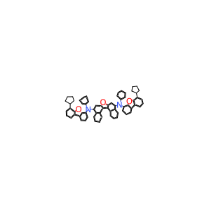 c1ccc(N(c2cc3oc4cc(N(c5ccccc5)c5cccc6c5oc5c(C7CCCC7)cccc56)c5ccccc5c4c3c3ccccc23)c2cccc3c2oc2c(C4CCCC4)cccc23)cc1